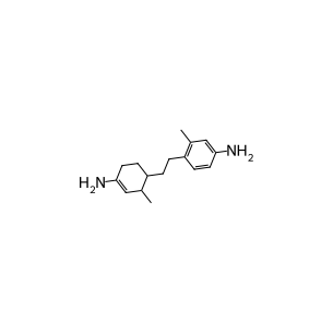 Cc1cc(N)ccc1CCC1CCC(N)=CC1C